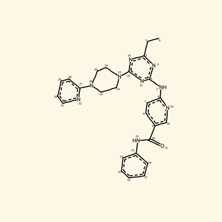 CCc1nc(Nc2ccc(C(=O)Nc3ccccc3)cn2)nc(N2CCN(c3ccccn3)CC2)n1